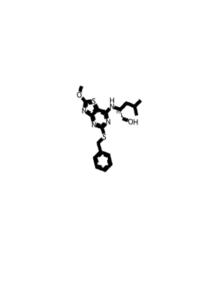 COc1nc2nc(SCc3ccccc3)nc(N[C@@H](CO)CC(C)C)c2s1